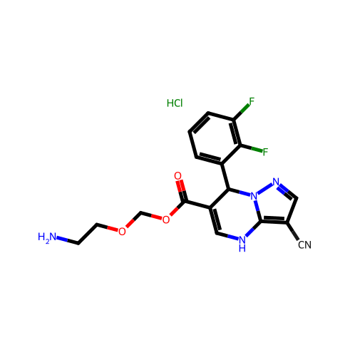 Cl.N#Cc1cnn2c1NC=C(C(=O)OCOCCN)C2c1cccc(F)c1F